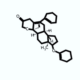 C[C@]12CC[C@@H]3[C@@H](CC=C4CC(=O)CC[C@@]43COC3=CCCCC3)[C@@H]1CCC2OC1=CCCCC1